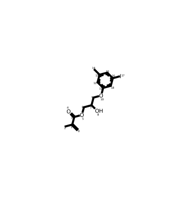 C=C(C)C(=O)OCC(O)COc1cc(C)cc(I)c1